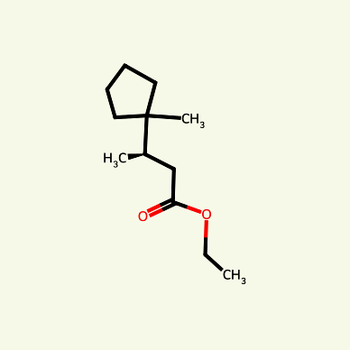 CCOC(=O)C[C@@H](C)C1(C)CCCC1